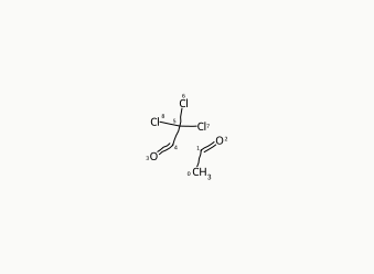 CC=O.O=CC(Cl)(Cl)Cl